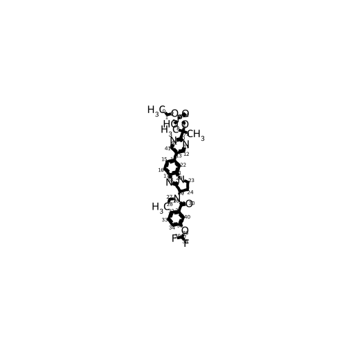 CCOP(=O)(O)OC(C)(C)c1ncc(-c2ccc3nc4n(c3c2)CC[C@H]4N(CC)C(=O)c2cccc(OC(F)F)c2)cn1